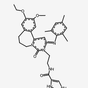 CCOc1cc2c(cc1OC)-c1c/c(=N\c3c(C)cc(C)cc3C)n(CCNC(=O)C3=CNNN3)c(=O)n1CCC2